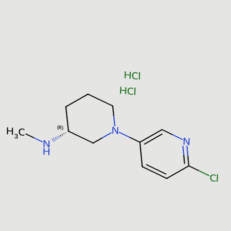 CN[C@@H]1CCCN(c2ccc(Cl)nc2)C1.Cl.Cl